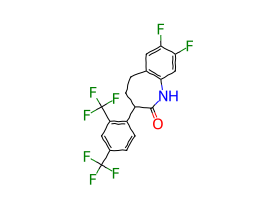 O=C1Nc2cc(F)c(F)cc2CCC1c1ccc(C(F)(F)F)cc1C(F)(F)F